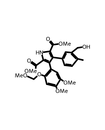 COCOc1cc(OC)c(OC)cc1-c1c(C(=O)OC)[nH]c(C(=O)OC)c1-c1ccc(C)c(CO)c1